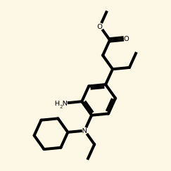 CCC(CC(=O)OC)c1ccc(N(CC)C2CCCCC2)c(N)c1